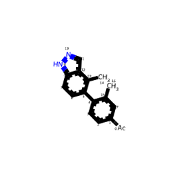 CC(=O)c1ccc(-c2ccc3[nH]ncc3c2C)c(C)c1